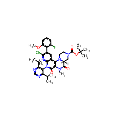 COc1cccc(F)c1-c1cc2c3c(c(=O)n(-c4c(C(C)C)ncnc4C(C)C)c2nc1Cl)N(C)C(=O)[C@H]1CN(C(=O)OC(C)(C)C)CCN31